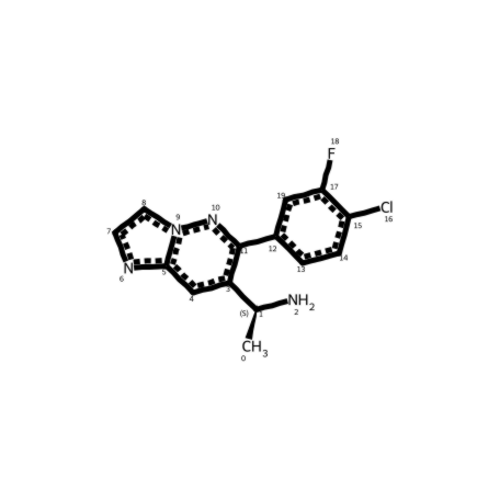 C[C@H](N)c1cc2nccn2nc1-c1ccc(Cl)c(F)c1